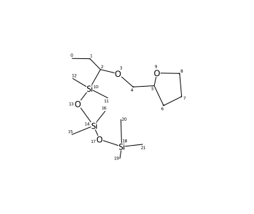 CCC(OCC1CCCO1)[Si](C)(C)O[Si](C)(C)O[Si](C)(C)C